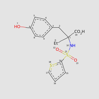 CCC(Cc1ccc(O)cc1)(NS(=O)(=O)c1cccs1)C(=O)O